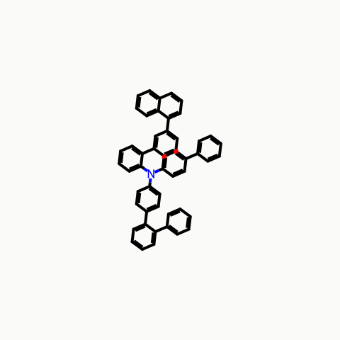 c1ccc(-c2ccc(N(c3ccc(-c4ccccc4-c4ccccc4)cc3)c3ccccc3-c3cccc(-c4cccc5ccccc45)c3)cc2)cc1